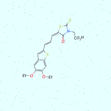 CCOc1cc2cc(C=CC=C3SC(=S)N(CC(=O)O)C3=O)sc2cc1OCC